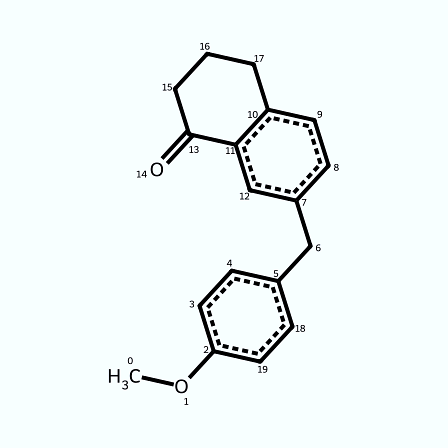 COc1ccc(Cc2ccc3c(c2)C(=O)CCC3)cc1